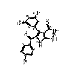 O=C(c1ccc(Br)cc1)c1[nH]c2[nH]cnc(=O)c2c1-c1cc(Br)cc(Br)c1